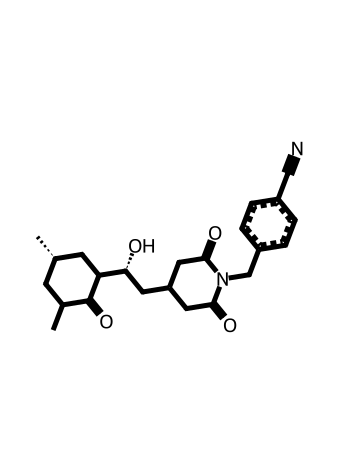 CC1C[C@H](C)CC([C@H](O)CC2CC(=O)N(Cc3ccc(C#N)cc3)C(=O)C2)C1=O